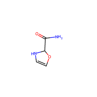 NC(=O)C1NC=CO1